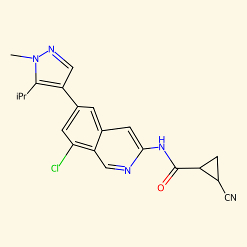 CC(C)c1c(-c2cc(Cl)c3cnc(NC(=O)C4CC4C#N)cc3c2)cnn1C